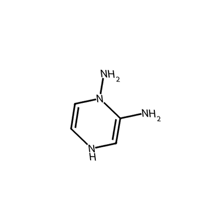 NC1=CNC=CN1N